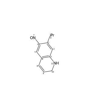 CC(C)c1cc2c(cc1N=O)C=CCN2